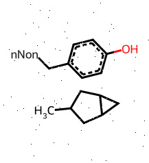 CC1CC2CC2C1.CCCCCCCCCCc1ccc(O)cc1